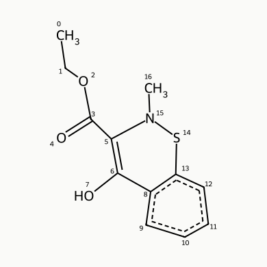 CCOC(=O)C1=C(O)c2ccccc2SN1C